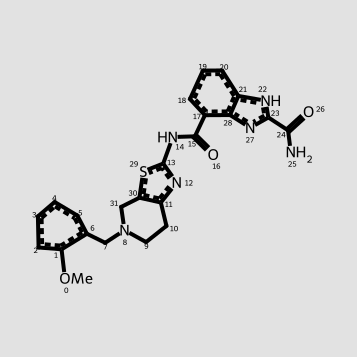 COc1ccccc1CN1CCc2nc(NC(=O)c3cccc4[nH]c(C(N)=O)nc34)sc2C1